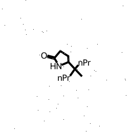 CCCC(C)(CCC)C1CCC(=O)N1